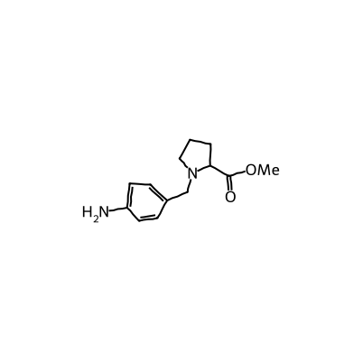 COC(=O)C1CCCN1Cc1ccc(N)cc1